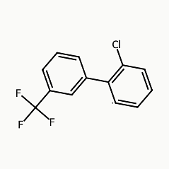 FC(F)(F)c1cccc(-c2[c]cccc2Cl)c1